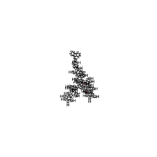 CC(=O)NC1C(O)[C@H](O[C@@H]2OC(CO)[C@H](O)C(O)[C@@H]2O)[C@H](CO)O[C@H]1OC[C@@H](OCC(O[C@H](CO)O[C@@H]1C(CO)O[C@@H](O[C@@H]2C(CO)O[C@@H](NC(=O)CC(NC(=O)OCC3c4ccccc4-c4ccccc43)C(=O)O)[C@@H](NC(C)=O)C2O)C(NC(C)=O)[C@H]1O)[C@@H](O)[C@@H](C)O[C@H]1O[C@H](CO)[C@@H](O)C(O)C1O[C@@H]1OC(CO)[C@@H](O[C@@H]2OC(CO)[C@H](O)[C@H](O)C2O)C(O)[C@@H]1NC(C)=O)OC(CO)[C@@H](O)[C@@H](C)O